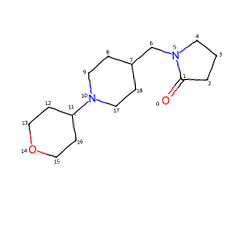 O=C1CCCN1CC1CCN([C]2CCOCC2)CC1